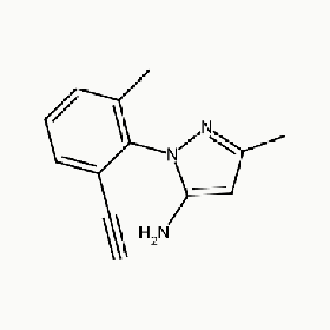 C#Cc1cccc(C)c1-n1nc(C)cc1N